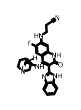 N#CCCNc1cc2[nH]c(=O)c(-c3nc4ccccc4[nH]3)c(N[C@@H]3CN4CCC3CC4)c2cc1F